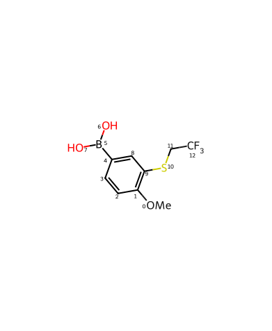 COc1ccc(B(O)O)cc1SCC(F)(F)F